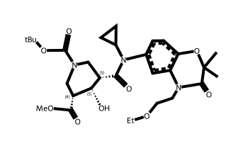 CCOCCN1C(=O)C(C)(C)Oc2ccc(N(C(=O)[C@H]3CN(C(=O)OC(C)(C)C)C[C@@H](C(=O)OC)[C@H]3O)C3CC3)cc21